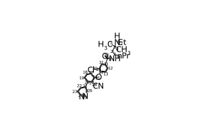 CCCC(CC(C)(C)NCC)NC(=O)c1ccc(Oc2cccc(-c3ccnnc3)c2C#N)c(Cl)c1